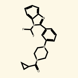 O=C(C1CC1)N1CCN(c2cccc(-c3nc4ccccc4n3C(F)F)c2)CC1